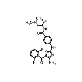 CC(C)C(CN(C)C)NC(=O)c1ccc(Nc2nc(N)c(C(=O)c3c(F)cccc3F)s2)cc1